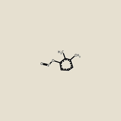 Cc1cccc(O[S+]=O)c1C